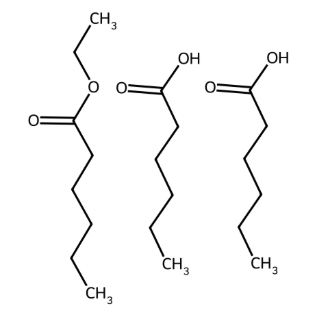 CCCCCC(=O)O.CCCCCC(=O)O.CCCCCC(=O)OCC